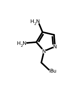 CCC(C)Cn1ncc(N)c1N